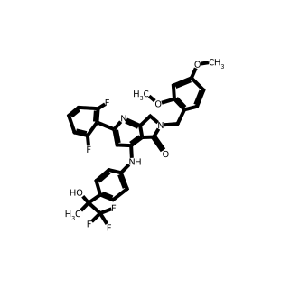 COc1ccc(CN2Cc3nc(-c4c(F)cccc4F)cc(Nc4ccc(C(C)(O)C(F)(F)F)cc4)c3C2=O)c(OC)c1